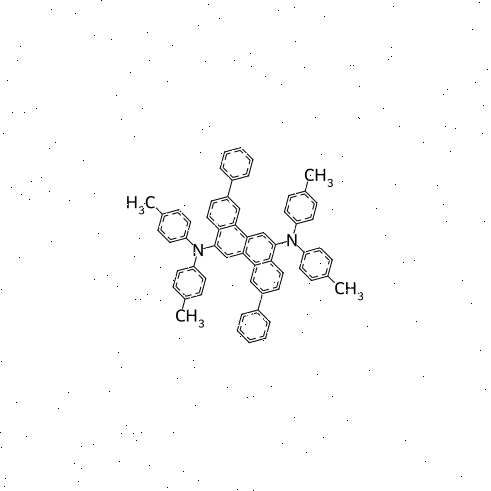 Cc1ccc(N(c2ccc(C)cc2)c2cc3c4cc(-c5ccccc5)ccc4c(N(c4ccc(C)cc4)c4ccc(C)cc4)cc3c3cc(-c4ccccc4)ccc23)cc1